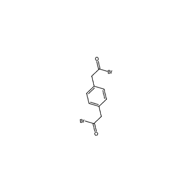 O=C(Br)Cc1ccc(CC(=O)Br)cc1